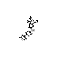 N#Cc1nc(N[C@H]2CC[C@H](N3CCOCC3)CC2)ccc1S(N)(=O)=O